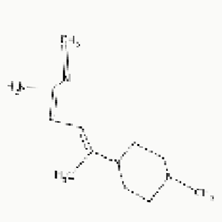 C=N/C(N)=C\C=C(/C)N1CCN(C)CC1